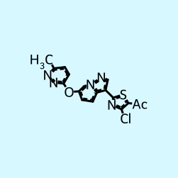 CC(=O)c1sc(-c2cnn3cc(Oc4ccc(C)nn4)ccc23)nc1Cl